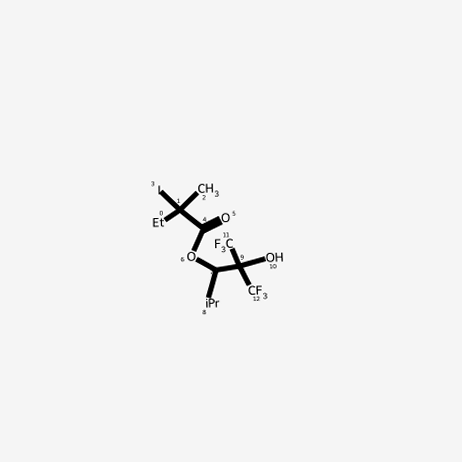 CCC(C)(I)C(=O)OC(C(C)C)C(O)(C(F)(F)F)C(F)(F)F